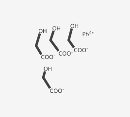 O=C([O-])CO.O=C([O-])CO.O=C([O-])CO.O=C([O-])CO.[Pb+4]